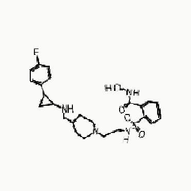 O=C(NO)c1ccccc1S(=O)(=O)NCCN1CCC(CNC2CC2c2ccc(F)cc2)CC1